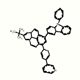 CC(C)(C)C1=CC2C=Cc3c(C4=CC5c6ccccc6N(c6ccccc6)C5C=C4)cc(C4C=CC(c5cccnc5)=CC4)c4c3C2C(=C1)C=C4